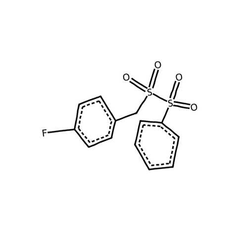 O=S(=O)(Cc1ccc(F)cc1)S(=O)(=O)c1ccccc1